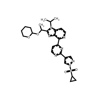 CC(OC1CCCCO1)c1nc2c(-c3ccnc(-c4cnn(S(=O)(=O)C5CC5)c4)n3)n[c]cc2n1C(C)C